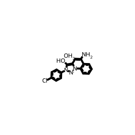 NC1=CC2=C(O)N(c3ccc(Cl)cc3)[N]N2c2ccccc21.O